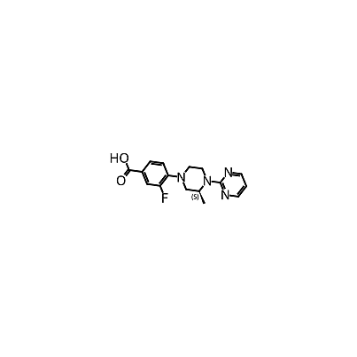 C[C@H]1CN(c2ccc(C(=O)O)cc2F)CCN1c1ncccn1